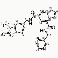 Cn1c(=O)oc2ccc(CNC(=O)c3cc(C(=O)NCc4cncnc4)n4nccc4n3)cc21